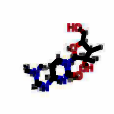 CC1C(CO)OC(n2ccc(/N=C\N(C)C)nc2=O)C1(C)O